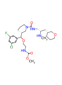 CN[C@H](CNC(=O)N1CCC[C@@H]([C@@H](OCCNC(=O)OC)c2cc(F)cc(Cl)c2)C1)C[C@H]1CCCOC1